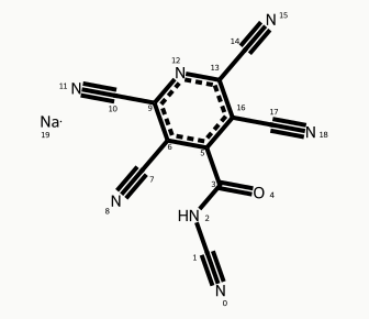 N#CNC(=O)c1c(C#N)c(C#N)nc(C#N)c1C#N.[Na]